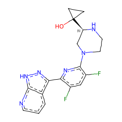 OC1([C@@H]2CN(c3nc(-c4n[nH]c5ncccc45)c(F)cc3F)CCN2)CC1